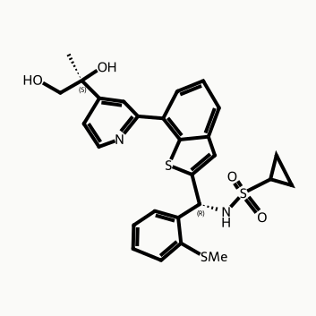 CSc1ccccc1[C@@H](NS(=O)(=O)C1CC1)c1cc2cccc(-c3cc([C@](C)(O)CO)ccn3)c2s1